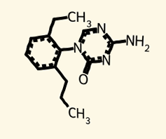 CCCc1cccc(CC)c1-n1cnc(N)nc1=O